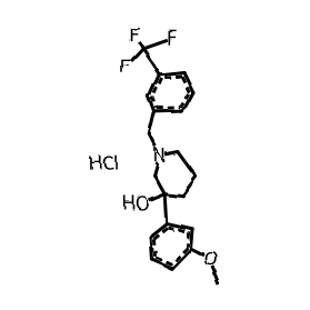 COc1cccc(C2(O)CCCN(Cc3cccc(C(F)(F)F)c3)C2)c1.Cl